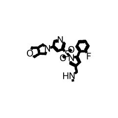 CNCc1cc(-c2ccccc2F)n(S(=O)(=O)c2cncc(N3CC4COCC4C3)c2)c1